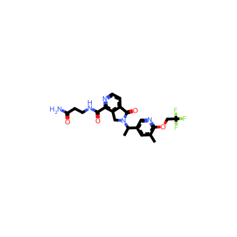 Cc1cc(C(C)N2Cc3c(ccnc3C(=O)NCCC(N)=O)C2=O)cnc1OCC(F)(F)F